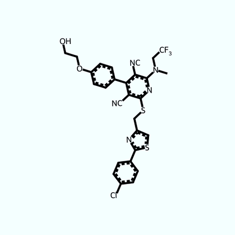 [C-]#[N+]c1c(N(C)CC(F)(F)F)nc(SCc2csc(-c3ccc(Cl)cc3)n2)c(C#N)c1-c1ccc(OCCO)cc1